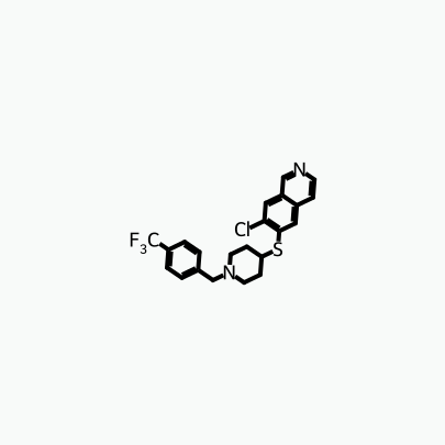 FC(F)(F)c1ccc(CN2CCC(Sc3cc4ccncc4cc3Cl)CC2)cc1